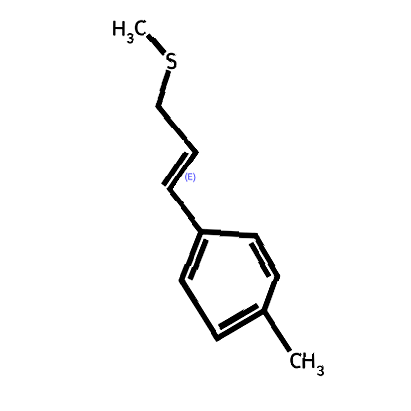 CSC/C=C/c1ccc(C)cc1